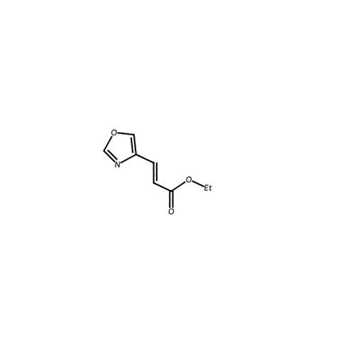 CCOC(=O)C=Cc1cocn1